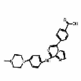 CN1CCN(c2ccc(Nc3ncc(-c4ccc(C(=O)O)cc4)n4ccnc34)cc2)CC1